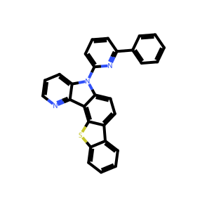 c1ccc(-c2cccc(-n3c4cccnc4c4c5sc6ccccc6c5ccc43)n2)cc1